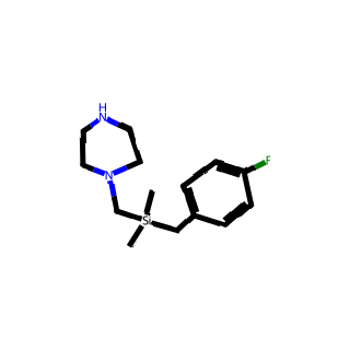 C[Si](C)(Cc1ccc(F)cc1)CN1CCNCC1